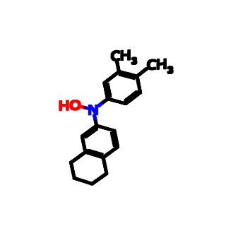 Cc1ccc(N(O)c2ccc3c(c2)CCCC3)cc1C